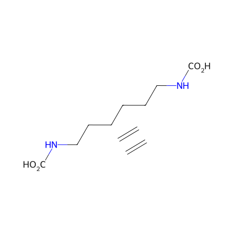 C=C.C=C.O=C(O)NCCCCCCNC(=O)O